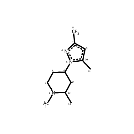 CC(=O)N1CCC(n2nc(C(F)(F)F)cc2C)CC1C